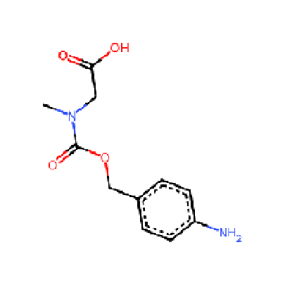 CN(CC(=O)O)C(=O)OCc1ccc(N)cc1